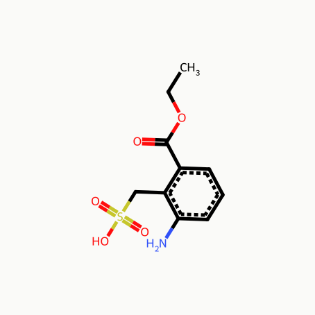 CCOC(=O)c1cccc(N)c1CS(=O)(=O)O